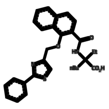 CCCCC(CC)(NC(=O)c1ccc2ccccc2c1OCc1csc(-c2ccccc2)n1)C(=O)O